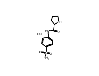 Cl.NS(=O)(=O)c1ccc(NC(=O)[C@H]2CCCN2)cc1